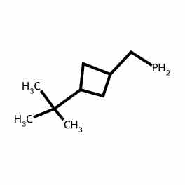 CC(C)(C)C1CC(CP)C1